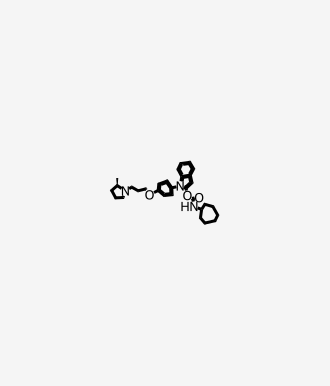 C[C@@H]1CCCN1CCCOc1ccc(-n2c(OC(=O)NC3CCCCCC3)cc3ccccc32)cc1